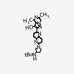 Cc1cn2nc(-c3ccc4nc(N5CCC(NC(C)(C)C)C5)ccc4n3)c(O)c2c(C)n1